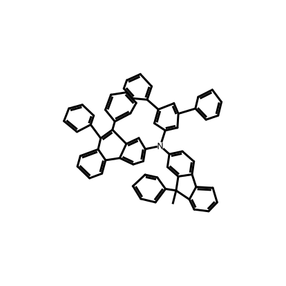 CC1(c2ccccc2)c2ccccc2-c2ccc(N(c3cc(-c4ccccc4)cc(-c4ccccc4)c3)c3ccc4c(c3)c(-c3ccccc3)c(-c3ccccc3)c3ccccc34)cc21